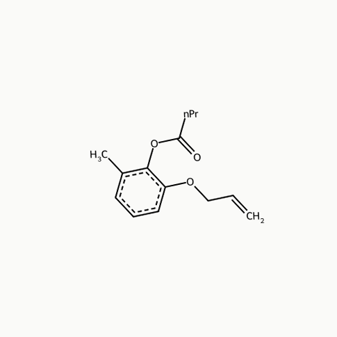 C=CCOc1cccc(C)c1OC(=O)CCC